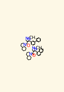 Cn1ncc(C(=O)N2CCCC3CCCCC32)c1-c1cccc(-c2ccccc2)c1.Cn1ncc(C(=O)N2CCCC3CCCCC32)c1-c1cccc2ccccc12